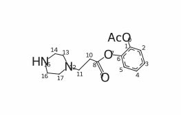 CC(=O)Oc1ccccc1OC(=O)CCN1CCNCC1